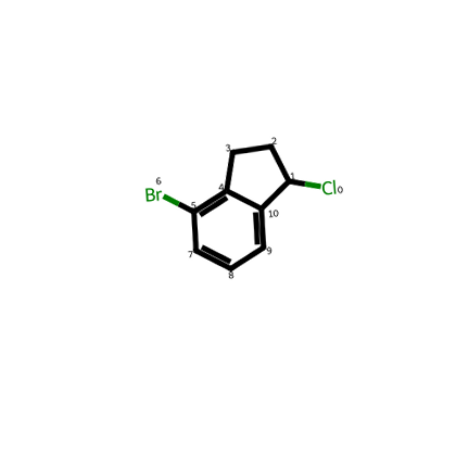 ClC1CCc2c(Br)cccc21